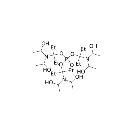 CCC(CC)(OP(=O)(OC(CC)(CC)N(C(C)O)C(C)O)OC(CC)(CC)N(C(C)O)C(C)O)N(C(C)O)C(C)O